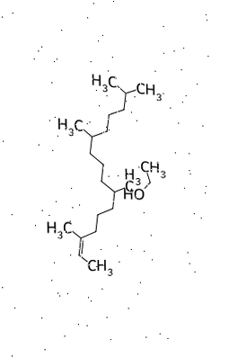 CC=C(C)CCCC(C)CCCC(C)CCCC(C)C.CCO